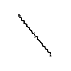 BrCCCCCCCCCCCSSCCCCCCCCCCCBr